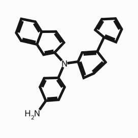 Nc1ccc(N(c2cccc(-c3ccccc3)c2)c2ccc3ccccc3c2)cc1